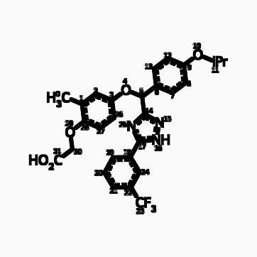 Cc1cc(OC(c2ccc(OC(C)C)cc2)c2n[nH]c(-c3cccc(C(F)(F)F)c3)n2)ccc1OCC(=O)O